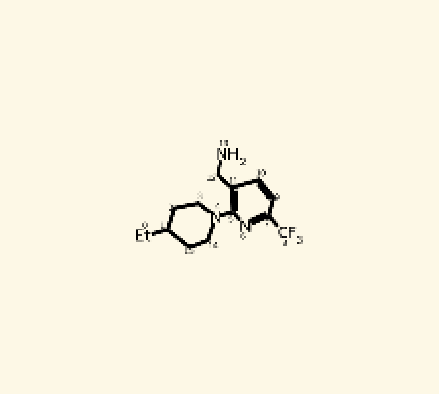 CCC1CCN(c2nc(C(F)(F)F)ccc2CN)CC1